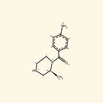 C[C@H]1CNCCN1C(=O)c1ccc(N)nc1